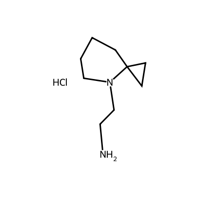 Cl.NCCN1CCCCC12CC2